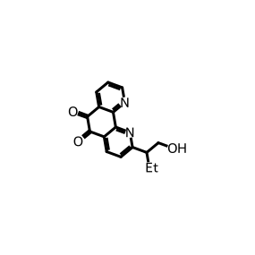 CCC(CO)c1ccc2c(n1)-c1ncccc1C(=O)C2=O